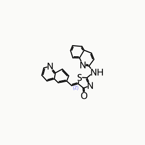 O=C1N=C(Nc2ccc3ccccc3n2)S/C1=C\c1ccc2ncccc2c1